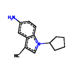 N#Cc1cn(C2CCCC2)c2ccc(N)cc12